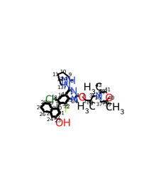 C[C@@H](COc1nc(N2CC3CCC(C2)N3)c2cc(Cl)c(-c3cc(O)cc4ccccc34)c(F)c2n1)CN1C[C@@H](C)OC[C@H]1C